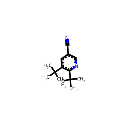 CC(C)(C)c1cc(C#N)cnc1C(C)(C)C